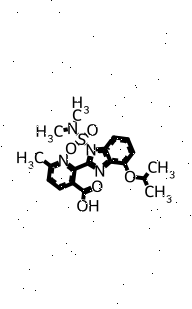 Cc1ccc(C(=O)O)c(-c2nc3c(OC(C)C)cccc3n2S(=O)(=O)N(C)C)n1